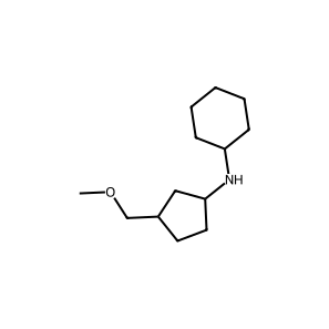 COCC1CCC(NC2CCCCC2)C1